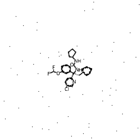 O=C(NC1CCCC1)N[C@](Cc1ccccc1)(c1cccc(OC(F)F)c1)c1ccc(Cl)cn1